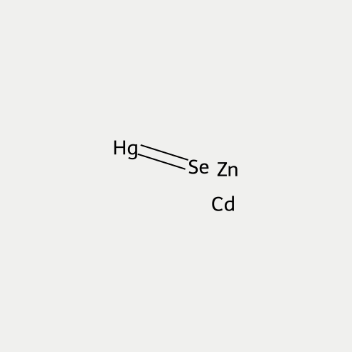 [Cd].[Se]=[Hg].[Zn]